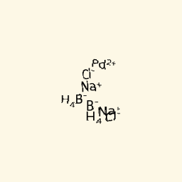 [BH4-].[BH4-].[Cl-].[Cl-].[Na+].[Na+].[Pd+2]